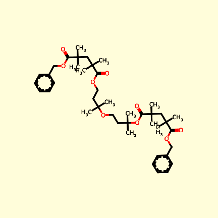 CC(C)(CCOC(=O)C(C)(C)CC(C)(C)C(=O)OCc1ccccc1)OCCC(C)(C)OC(=O)C(C)(C)CC(C)(C)C(=O)OCc1ccccc1